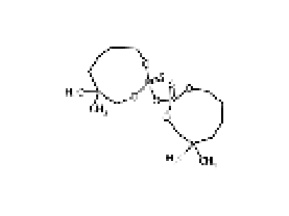 CC1(C)CCCCOP(=S)(OP2(=S)OCCCCC(C)(C)CO2)OC1